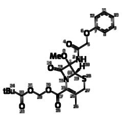 COC1(NC(=O)COc2ccccc2)C(=O)N2C(C(=O)OCOC(=O)C(C)(C)C)=C(C)CS[C@H]21